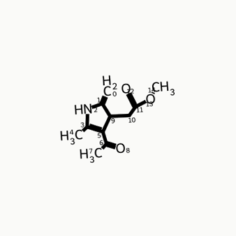 C=C1NC(C)=C(C(C)=O)C1CC(=O)OC